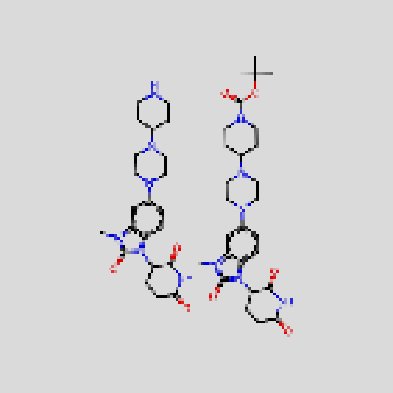 Cn1c(=O)n(C2CCC(=O)NC2=O)c2ccc(N3CCN(C4CCN(C(=O)OC(C)(C)C)CC4)CC3)cc21.Cn1c(=O)n(C2CCC(=O)NC2=O)c2ccc(N3CCN(C4CCNCC4)CC3)cc21